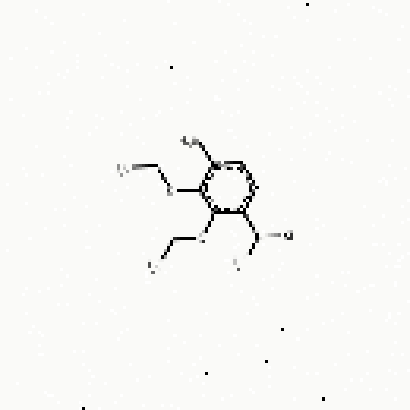 CCOc1c([SiH3])ccc(C(C)S)c1OCC